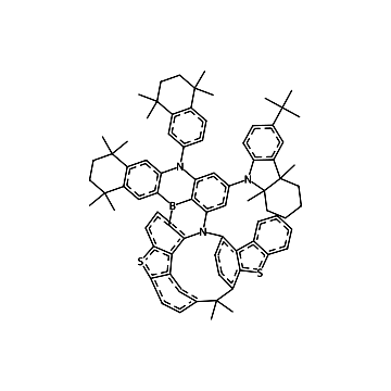 CC(C)(C)c1ccc2c(c1)C1(C)CCCCC1(C)N2c1cc2c3c(c1)N1c4c(ccc5sc6ccc(cc6c45)C(C)(C)c4ccc1c1c4sc4ccccc41)B3c1cc3c(cc1N2c1ccc2c(c1)C(C)(C)CCC2(C)C)C(C)(C)CCC3(C)C